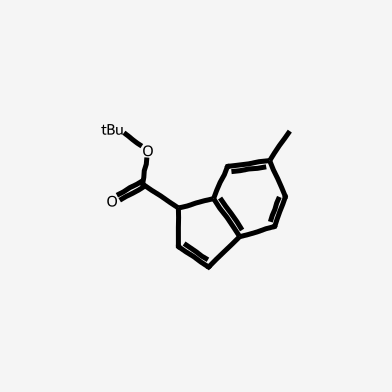 Cc1ccc2c(c1)C(C(=O)OC(C)(C)C)C=C2